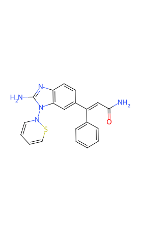 NC(=O)/C=C(\c1ccccc1)c1ccc2nc(N)n(N3C=CC=CS3)c2c1